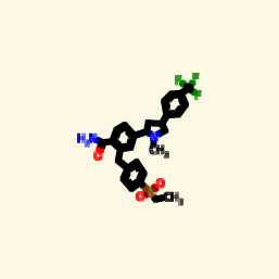 CCS(=O)(=O)c1ccc(Cc2cc(C3CC(c4ccc(C(F)(F)F)cc4)CN3C)ccc2C(N)=O)cc1